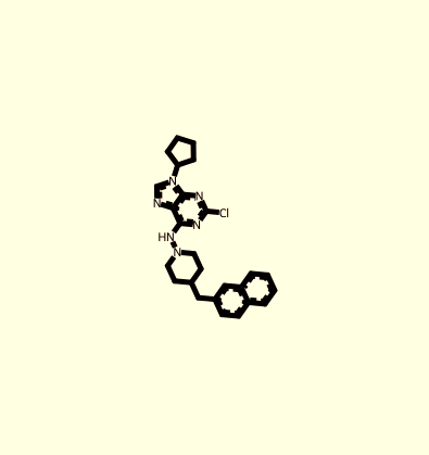 Clc1nc(NN2CCC(Cc3ccc4ccccc4c3)CC2)c2ncn(C3CCCC3)c2n1